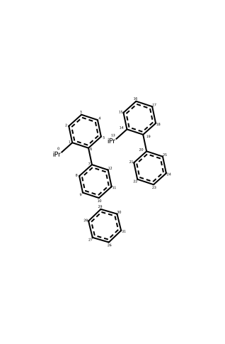 CC(C)c1ccccc1-c1ccccc1.CC(C)c1ccccc1-c1ccccc1.c1ccccc1